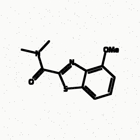 COc1cccc2sc(C(=O)N(C)C)nc12